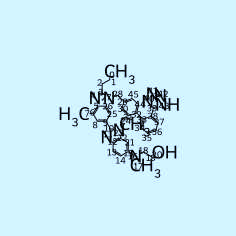 CCCc1nc2c(C)cc(-c3nc4ccc(N(C)CCO)cc4n3C)cc2n1Cc1ccc(-c2ccccc2-c2nnn[nH]2)cc1